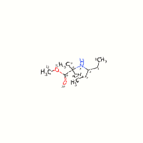 CCC(CC)NC(C)(C)C(=O)OC